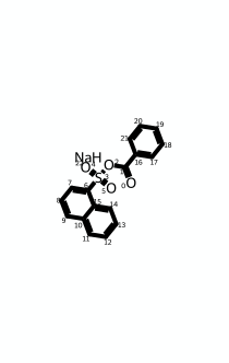 O=C(OS(=O)(=O)c1cccc2ccccc12)c1ccccc1.[NaH]